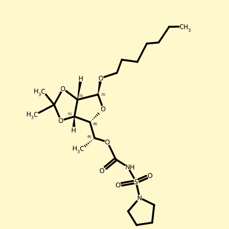 CCCCCCCO[C@H]1O[C@H]([C@@H](C)OC(=O)NS(=O)(=O)N2CCCC2)[C@@H]2OC(C)(C)O[C@H]12